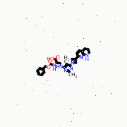 Cc1nc(NCC(NC(=O)OCc2ccccc2)C(=O)O)c(C)c(N2CC(c3ccc4c(n3)NCCC4)C2)n1